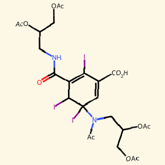 CC(=O)OCC(CNC(=O)C1=C(I)C(C(=O)O)=CC(I)(N(CC(COC(C)=O)OC(C)=O)C(C)=O)C1I)OC(C)=O